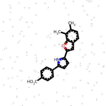 Cc1ccc2cc(-c3ccc(-c4ccc(C(=O)O)cc4)[nH]3)oc2c1C